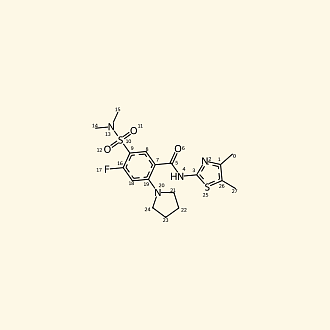 Cc1nc(NC(=O)c2cc(S(=O)(=O)N(C)C)c(F)cc2N2CCCC2)sc1C